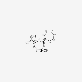 Cl.O=C(O)[C@@H]1CCCCN(C2CCCCCC2)C1